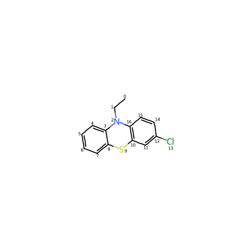 CCN1c2ccccc2Sc2cc(Cl)ccc21